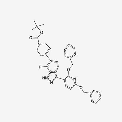 CC(C)(C)OC(=O)N1CC=C(c2ccc3c(-c4ccc(OCc5ccccc5)nc4OCc4ccccc4)n[nH]c3c2F)CC1